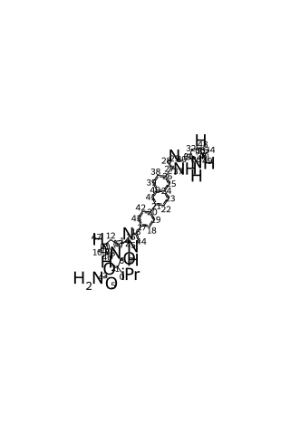 CC(C)C(OC(N)=O)C(=O)N1[C@@H]2C[C@@H]2C[C@H]1c1nc(-c2ccc(-c3ccc4cc(-c5cnc([C@@H]6C[C@H]7C[C@H]7N6)[nH]5)ccc4c3)cc2)c[nH]1